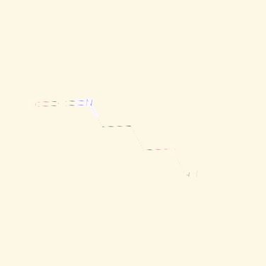 O=C=NCCCO[SiH3]